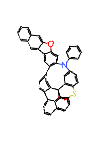 c1ccc(N2c3ccc4c(c3)C3(c5ccccc5S4)c4cc(ccc4-c4cccc5cccc3c45)-c3cc4c(cc32)oc2cc3ccccc3cc24)cc1